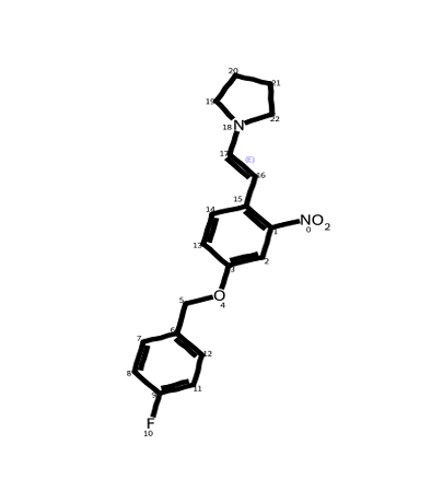 O=[N+]([O-])c1cc(OCc2ccc(F)cc2)ccc1/C=C/N1CCCC1